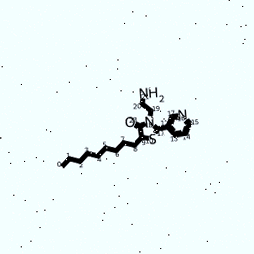 CCCCCCCCCC1SC(c2cccnc2)N(CCN)C1=O